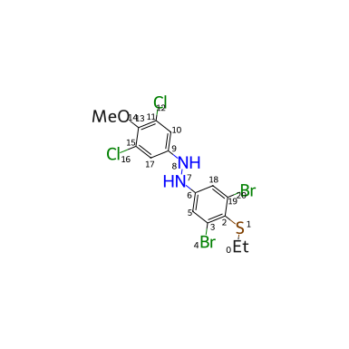 CCSc1c(Br)cc(NNc2cc(Cl)c(OC)c(Cl)c2)cc1Br